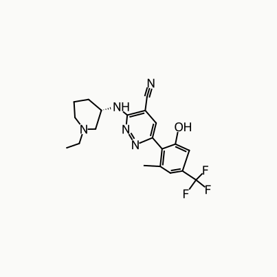 CCN1CCC[C@H](Nc2nnc(-c3c(C)cc(C(F)(F)F)cc3O)cc2C#N)C1